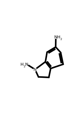 Nc1ccc2c(c1)N(N)CC2